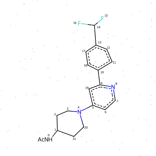 CC(=O)NC1CCN(c2ccnc(-c3ccc(C(F)F)cc3)c2)CC1